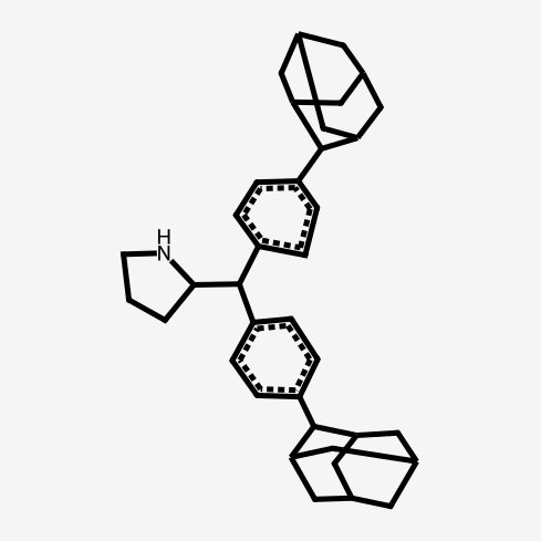 c1cc(C2C3CC4CC(C3)CC2C4)ccc1C(c1ccc(C2C3CC4CC(C3)CC2C4)cc1)C1CCCN1